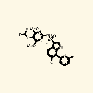 COc1nc(NS(=O)(=O)c2c[nH]c3c(-c4cccc(C)n4)c(Cl)ccc23)nc(OC)c1OC(F)F